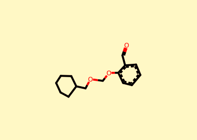 O=Cc1ccccc1OCOCC1CCCCC1